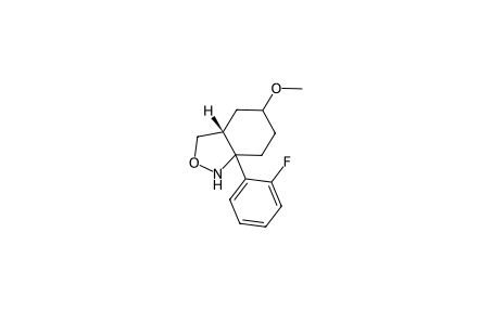 COC1CCC2(c3ccccc3F)NOC[C@@H]2C1